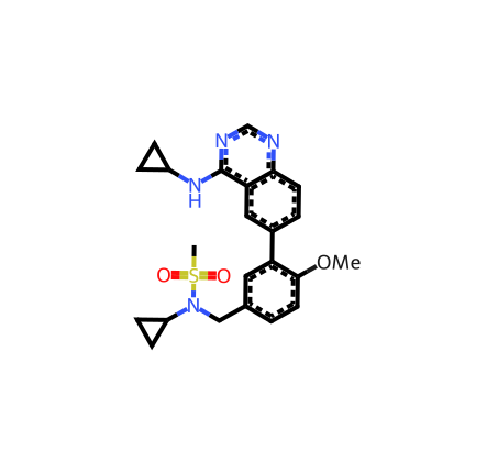 COc1ccc(CN(C2CC2)S(C)(=O)=O)cc1-c1ccc2ncnc(NC3CC3)c2c1